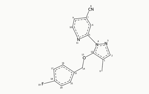 Cc1cnn(-c2cc(C#N)ccn2)c1OCc1ccc(F)cc1